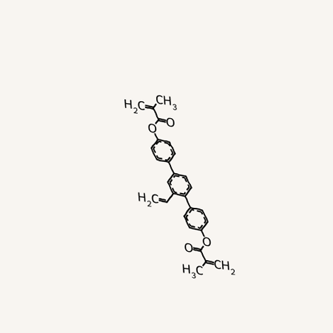 C=Cc1cc(-c2ccc(OC(=O)C(=C)C)cc2)ccc1-c1ccc(OC(=O)C(=C)C)cc1